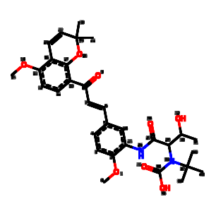 COc1ccc(C=CC(=O)c2ccc(OC)c3c2OC(C)(C)C=C3)cc1NC(=O)C(C(C)O)N(C(=O)O)C(C)(C)C